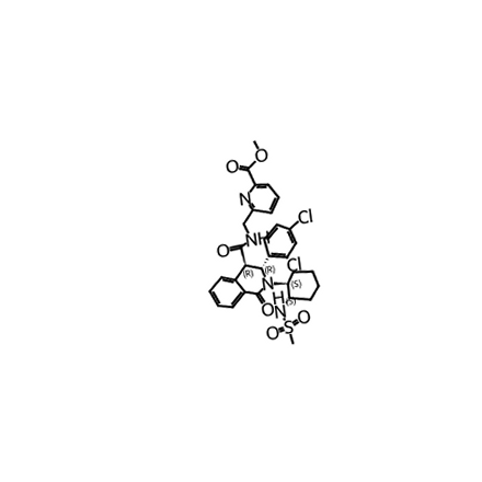 COC(=O)c1cccc(CNC(=O)[C@@H]2c3ccccc3C(=O)N([C@H]3CCCC[C@@H]3NS(C)(=O)=O)[C@H]2c2ccc(Cl)cc2Cl)n1